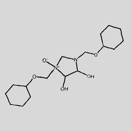 [O-][N+]1(COC2CCCCC2)CN(COC2CCCCC2)C(O)C1O